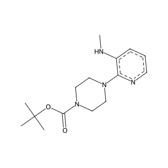 CNc1cccnc1N1CCN(C(=O)OC(C)(C)C)CC1